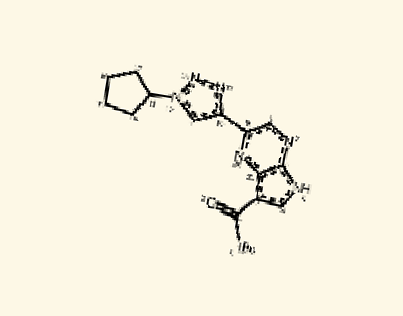 CC(C)(C)C(=O)c1c[nH]c2ncc(-c3cn(C4CCCC4)nn3)nc12